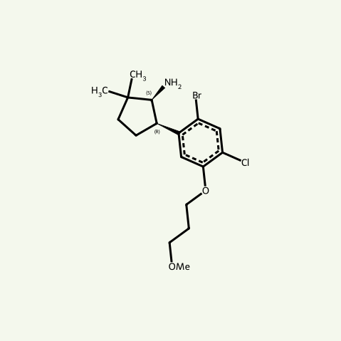 COCCCOc1cc([C@H]2CCC(C)(C)[C@H]2N)c(Br)cc1Cl